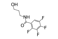 O=C(NCCCO)c1cc(F)c(F)c(F)c1F